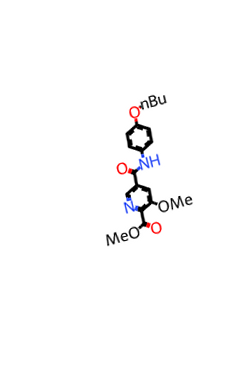 CCCCOc1ccc(NC(=O)c2cnc(C(=O)OC)c(OC)c2)cc1